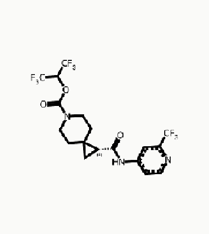 O=C(Nc1ccnc(C(F)(F)F)c1)[C@@H]1CC12CCN(C(=O)OC(C(F)(F)F)C(F)(F)F)CC2